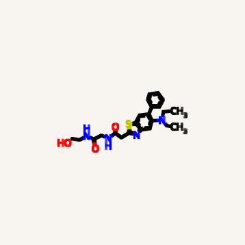 CCN(CC)c1cc2nc(CC(=O)NCC(=O)NCCO)sc2cc1-c1ccccc1